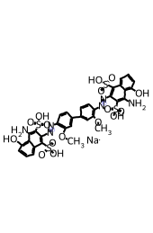 COc1cc(-c2ccc(/N=N/c3c(S(=O)(=O)O)c(N)c4c(O)cccc4c3S(=O)(=O)O)c(OC)c2)ccc1/N=N/c1c(S(=O)(=O)O)c(N)c2c(O)cccc2c1S(=O)(=O)O.[Na]